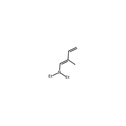 C=C/C(C)=C/N(CC)CC